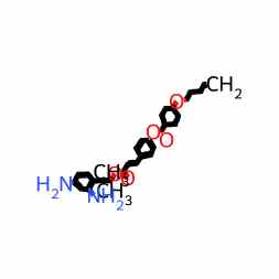 C=CCCCOC1CCC(C(=O)Oc2ccc(/C=C/C(=O)OCC(C)(C)c3ccc(N)cc3N)cc2)CC1